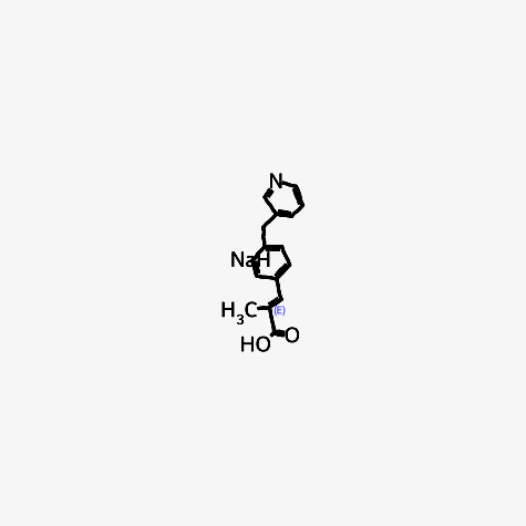 C/C(=C\c1ccc(Cc2cccnc2)cc1)C(=O)O.[NaH]